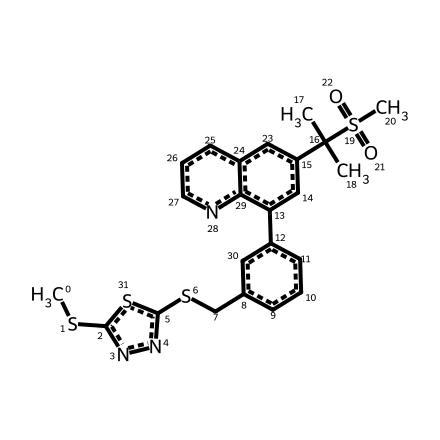 CSc1nnc(SCc2cccc(-c3cc(C(C)(C)S(C)(=O)=O)cc4cccnc34)c2)s1